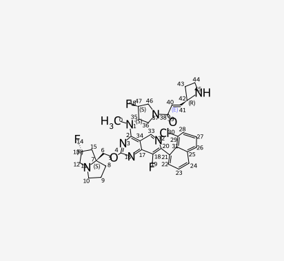 CN(c1nc(OC[C@@]23CCCN2C[C@H](F)C3)nc2c(F)c(-c3cccc4cccc(Cl)c34)ncc12)[C@H]1CN(C(=O)/C=C/[C@H]2CCN2)C[C@@H]1F